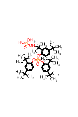 CC(C)(C)c1ccc(OP(=O)(Oc2ccc(C(C)(C)C)cc2C(C)(C)C)Oc2ccc(C(C)(C)C)cc2C(C)(C)C)c(C(C)(C)C)c1.O=P(O)(O)O